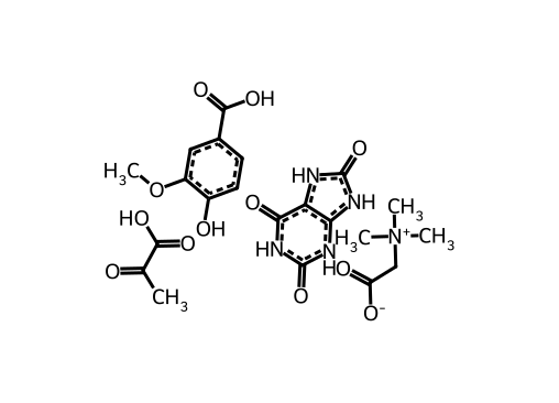 CC(=O)C(=O)O.COc1cc(C(=O)O)ccc1O.C[N+](C)(C)CC(=O)[O-].O=c1[nH]c(=O)c2[nH]c(=O)[nH]c2[nH]1